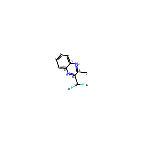 Cc1nc2ccccc2nc1C(F)F